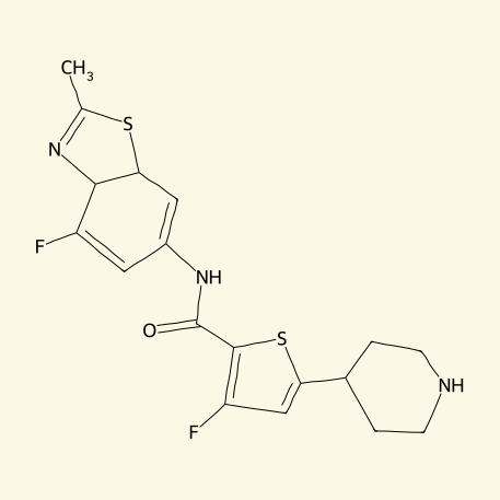 CC1=NC2C(F)=CC(NC(=O)c3sc(C4CCNCC4)cc3F)=CC2S1